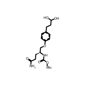 CC(C)(C)OC(=O)N[C@@H](CCC(N)=O)COc1ccc(CCC(O)O)cc1